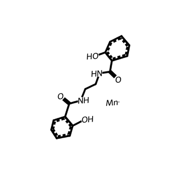 O=C(NCCNC(=O)c1ccccc1O)c1ccccc1O.[Mn]